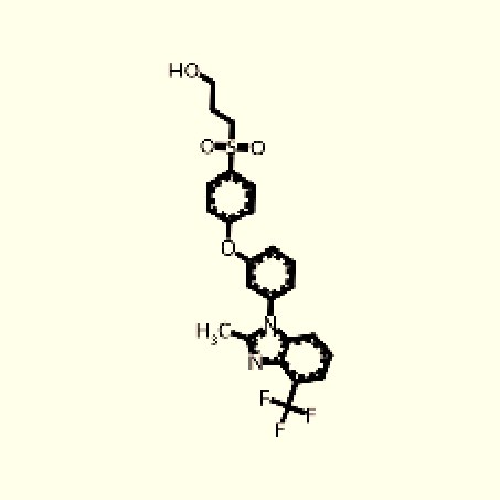 Cc1nc2c(C(F)(F)F)cccc2n1-c1cccc(Oc2ccc(S(=O)(=O)CCCO)cc2)c1